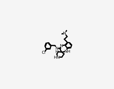 CN(C)CCc1cccc2c1N=C(NCc1cccc(Cl)c1)C1(CCNCC1)N2